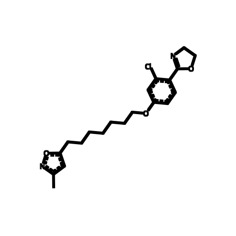 Cc1cc(CCCCCCCOc2ccc(C3=NCCO3)c(Cl)c2)on1